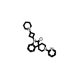 O=C1N(C2CC(N3CCCCC3)C2)c2ccccc2C12CCN(c1ccccn1)CC2